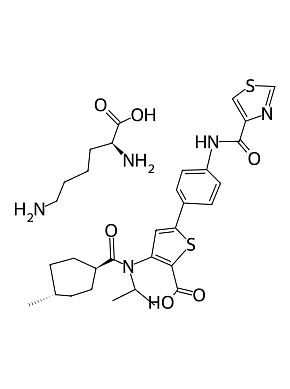 CC(C)N(c1cc(-c2ccc(NC(=O)c3cscn3)cc2)sc1C(=O)O)C(=O)[C@H]1CC[C@H](C)CC1.NCCCC[C@H](N)C(=O)O